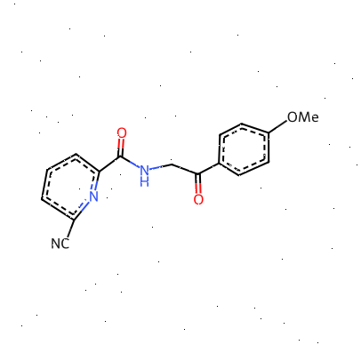 COc1ccc(C(=O)CNC(=O)c2cccc(C#N)n2)cc1